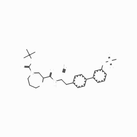 CC(C)(C)OC(=O)N1CCCOC(C(=O)N[C@H](C#N)Cc2ccc(-c3cccc(OS(C)(=O)=O)c3)cc2)C1